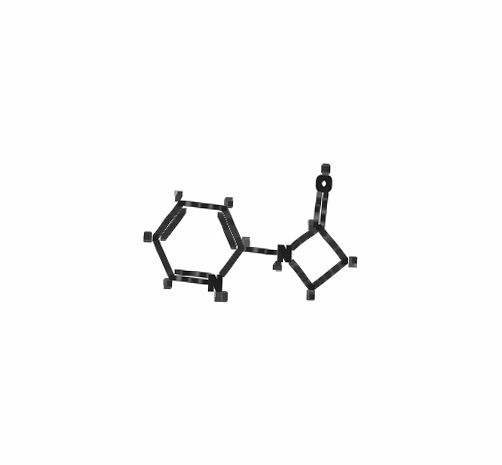 O=C1CCN1c1ccccn1